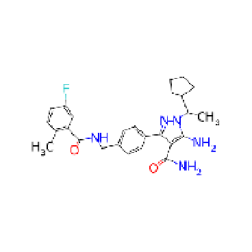 Cc1ccc(F)cc1C(=O)NCc1ccc(-c2nn(C(C)C3CCCC3)c(N)c2C(N)=O)cc1